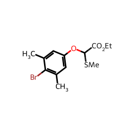 CCOC(=O)C(Oc1cc(C)c(Br)c(C)c1)SC